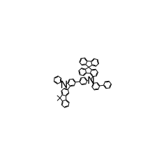 CC1(C)c2ccccc2-c2cc3c4cc(-c5ccc(N(c6cccc(-c7ccccc7)c6)c6cccc7c6-c6ccccc6C76c7ccccc7-c7ccccc76)cc5)ccc4n(-c4ccccc4)c3cc21